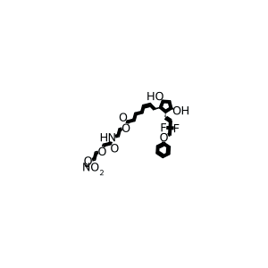 O=C(COCCO[N+](=O)[O-])NCCOC(=O)CCC/C=C\C[C@@H]1[C@@H](/C=C/C(F)(F)COc2ccccc2)[C@H](O)C[C@@H]1O